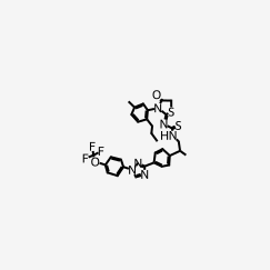 CCCc1ccc(C)cc1N1C(=O)CS/C1=N\C(=S)NCC(C)c1ccc(-c2ncn(-c3ccc(OC(F)(F)F)cc3)n2)cc1